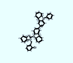 Brc1ccccc1Cn1c(-n2c3ccccc3c3cc(-c4ccc5c(c4)c4ccccc4n5-c4ccccc4)ccc32)nc2ccccc21